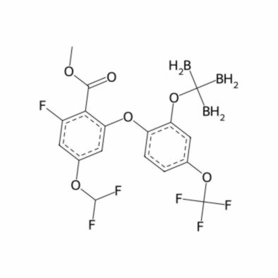 BC(B)(B)Oc1cc(OC(F)(F)F)ccc1Oc1cc(OC(F)F)cc(F)c1C(=O)OC